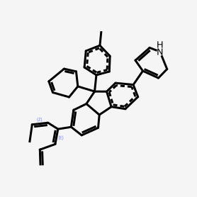 C=C/C=C(\C=C/C)C1=CC2C(C=C1)c1ccc(C3=CCNC=C3)cc1C2(c1ccc(C)cc1)C1C=CC=CC1